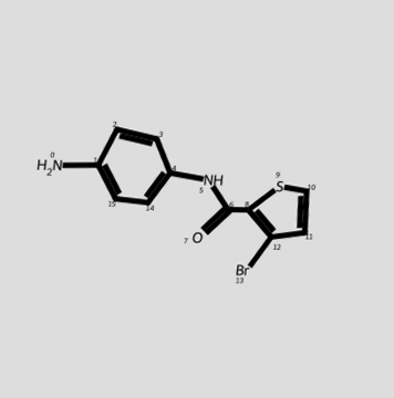 Nc1ccc(NC(=O)c2sccc2Br)cc1